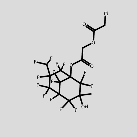 CC1(O)C(F)(F)C2(F)C(F)(F)C(F)(C(F)F)C(F)(F)C(OC(=O)COC(=O)CCl)(C1(F)F)C2(F)F